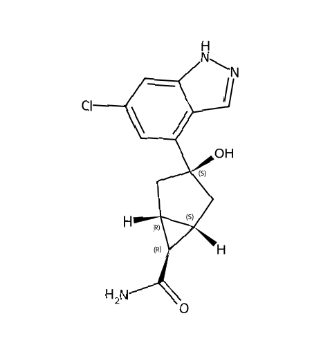 NC(=O)[C@H]1[C@@H]2C[C@](O)(c3cc(Cl)cc4[nH]ncc34)C[C@@H]21